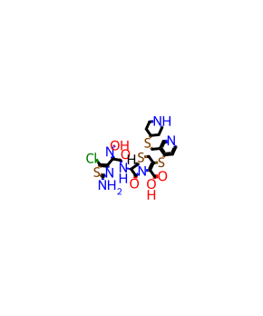 Nc1nc(/C(=N/O)C(=O)N[C@@H]2C(=O)N3C(C(=O)O)=C(Sc4ccncc4CSC4CCNCC4)CS[C@@H]23)c(Cl)s1